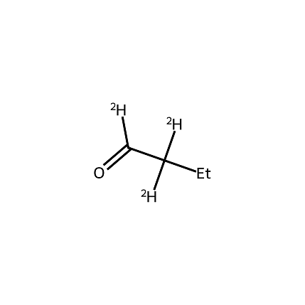 [2H]C(=O)C([2H])([2H])CC